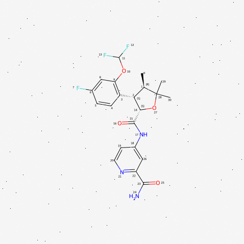 C[C@@H]1[C@@H](c2ccc(F)cc2OC(F)F)[C@@H](C(=O)Nc2ccnc(C(N)=O)c2)OC1(C)C